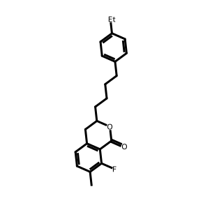 CCc1ccc(CCCCC2Cc3ccc(C)c(F)c3C(=O)O2)cc1